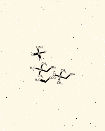 C=CC(=O)[O-].CC(C)(C)C[N+](C)(C)C.CC(C)(C)C[N+](C)(C)C.COS(=O)(=O)[O-]